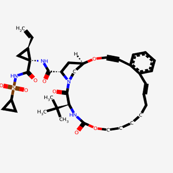 C=C[C@@H]1C[C@]1(NC(=O)[C@@H]1C[C@@H]2CN1C(=O)[C@H](C(C)(C)C)NC(=O)OCCCCC/C=C/c1ccccc1C#CO2)C(=O)NS(=O)(=O)C1CC1